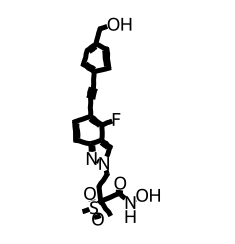 CC(CCn1cc2c(F)c(C#Cc3ccc(CO)cc3)ccc2n1)(C(=O)NO)S(C)(=O)=O